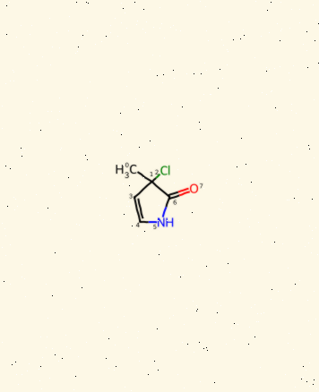 CC1(Cl)C=CNC1=O